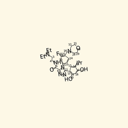 CCN(CC)CCNC(=O)c1nnc(-c2cc(C(C)C)c(O)cc2O)n1-c1ccc(CN2CCOCC2)c(F)c1